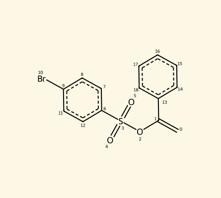 C=C(OS(=O)(=O)c1ccc(Br)cc1)c1ccccc1